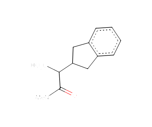 CNC(=O)C(C(=O)O)C1Cc2ccccc2C1